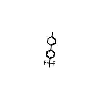 CC1=CC=C(c2ccc(C(C)(F)F)cc2)CC1